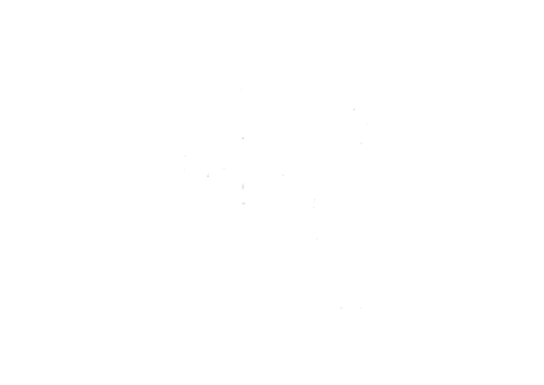 CCCCCOC(CCC(CCCCC)C(=O)CCC)C(=O)OCCCC